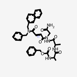 CC(NC(=O)OCc1ccccc1)C(=O)NC(C)C(=O)NN(CC(N)=O)C(=O)/C=C/C(=O)N(Cc1ccccc1)Cc1ccc2ccccc2c1